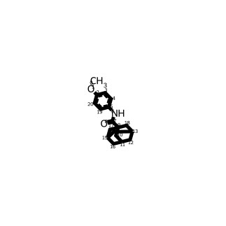 COc1ccc(NC(=O)C23CC4CC(CC(C4)C2)C3)cc1